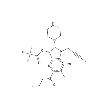 CC#CCN1c2c(nc([S+]([O-])CCC)n(C)c2=O)N(OC(=O)C(F)(F)F)C1N1CCNCC1